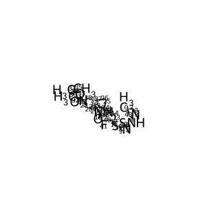 Cc1ccnc(Nc2ncc(Sc3ccnc(C(=O)NCC4(c5ccccc5)CCN(C(=O)OC(C)(C)C)CC4)c3F)s2)c1